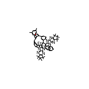 C=C1C2N(c3ccccc3)c3nc4c(nc3N2c2ccc3cc2C1(CC)C1(CC)C(=C)c2cc(ccc2N2c5nc6c(nc5N(c5ccccc5)C21)C(C)(C)C(C)(C)C6(C)C)-c1cccc-3c1-c1cc(C)cc(C)c1)C(C)(C)C(C)(C)C4(C)C